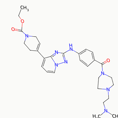 CCOC(=O)N1CC=C(c2cccn3nc(Nc4ccc(C(=O)N5CCN(CCN(C)C)CC5)cc4)nc23)CC1